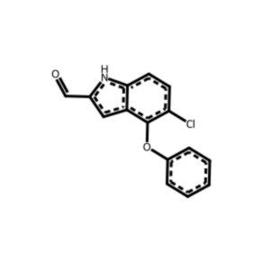 O=Cc1cc2c(Oc3ccccc3)c(Cl)ccc2[nH]1